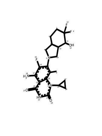 Cc1c(N2CC3CCC(F)(F)C(O)C3C2)c(F)c(N)c2c(=O)[nH]c(=O)n(C3CC3)c12